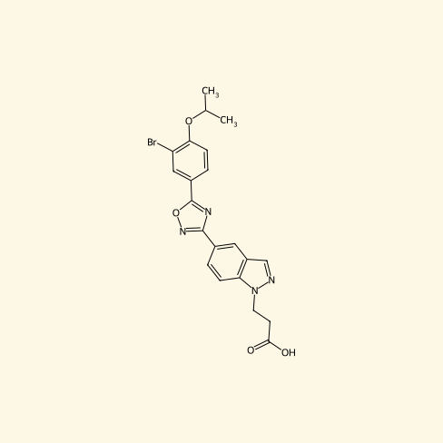 CC(C)Oc1ccc(-c2nc(-c3ccc4c(cnn4CCC(=O)O)c3)no2)cc1Br